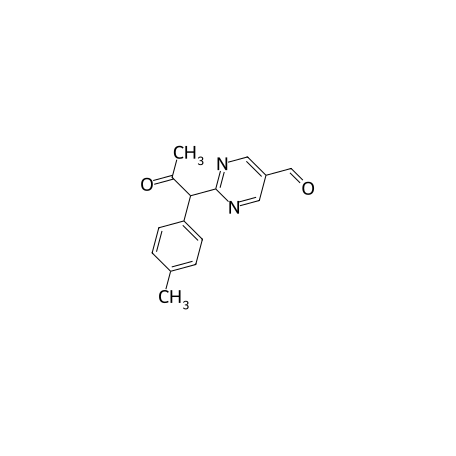 CC(=O)C(c1ccc(C)cc1)c1ncc(C=O)cn1